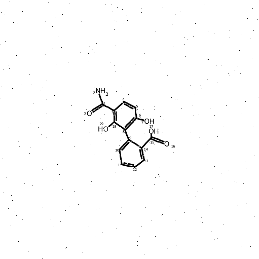 NC(=O)c1ccc(O)c(-c2ccccc2C(=O)O)c1O